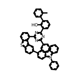 Cc1ccccc1-c1cccc(-c2nc(-c3ccccc3)nc(-c3cccc4sc5ccc(-c6ccc7c(c6)c6ccccc6n7-c6ccccc6)cc5c34)n2)c1O